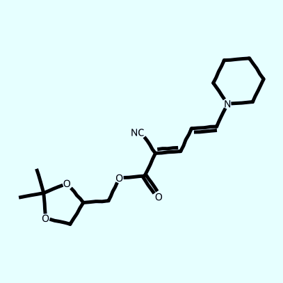 CC1(C)OCC(COC(=O)/C(C#N)=C/C=C/N2CCCCC2)O1